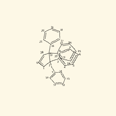 C1=CC(c2ccccc2)(c2ccccc2)C(c2ccccc2)(c2ccccc2)C=1